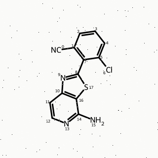 N#Cc1cccc(Cl)c1-c1nc2ccnc(N)c2s1